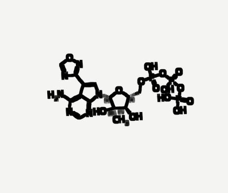 C[C@@]1(O)[C@H](O)[C@@H](COP(=O)(O)OP(=O)(O)OP(=O)(O)O)O[C@H]1n1cc(-c2ncon2)c2c(N)ncnc21